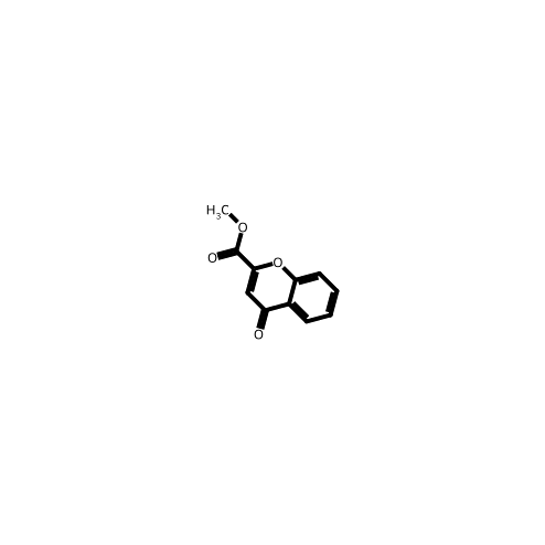 COC(=O)c1cc(=O)c2ccccc2o1